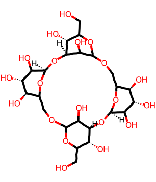 OCC1OC2OCC3O[C@H](O[C@@H]4C(O)C(OCC5O[C@H](O[C@H](C2O)[C@@H]1O)C(O)[C@@H](O)[C@@H]5O)OC(CO)[C@H]4O)C(O)[C@@H](O)[C@@H]3O